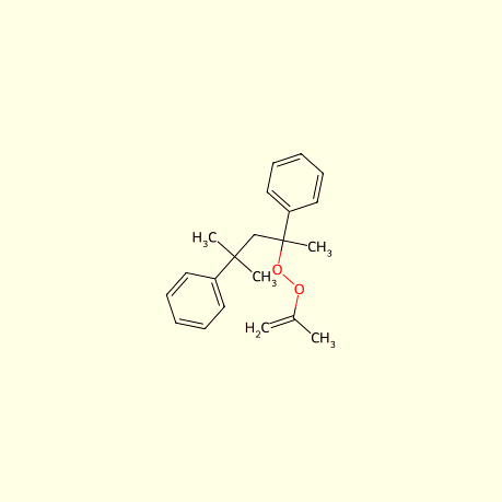 C=C(C)OOC(C)(CC(C)(C)c1ccccc1)c1ccccc1